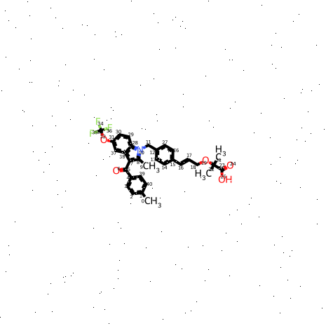 Cc1ccc(C(=O)c2c(C)n(Cc3ccc(/C=C/COC(C)(C)C(=O)O)cc3)c3ccc(OC(F)(F)F)cc23)cc1